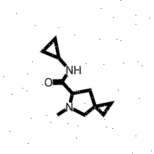 CN1CC2(CC2)CC1C(=O)NC1CC1